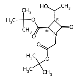 CC(O)[C@@H]1C(=O)N(CC(=O)OC(C)(C)C)[C@H]1C(=O)OC(C)(C)C